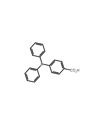 O=C(O)c1cc[c]([Bi]([c]2ccccc2)[c]2ccccc2)cc1